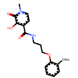 COc1ccccc1OCCCNC(=O)c1ccn(C)c(=O)c1O